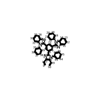 C=Cc1nc(-c2cc(-c3nc4ccccc4n3-c3ccccc3)cc(-c3nc4ccccc4n3-c3ccccc3)c2)n(-c2ccccc2)c1C=C